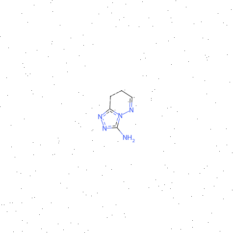 Nc1nnc2n1N=[C]CC2